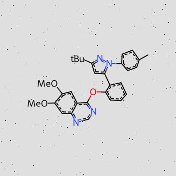 COc1cc2ncnc(Oc3c[c]ccc3-c3cc(C(C)(C)C)nn3-c3ccc(C)cc3)c2cc1OC